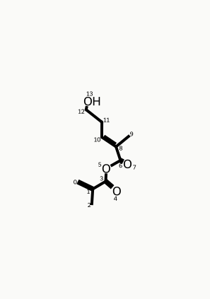 C=C(C)C(=O)OC(=O)C(C)=CCCO